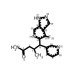 CC(CC(N)=O)C(c1cccnc1)c1ncc2[nH]ncc2c1F